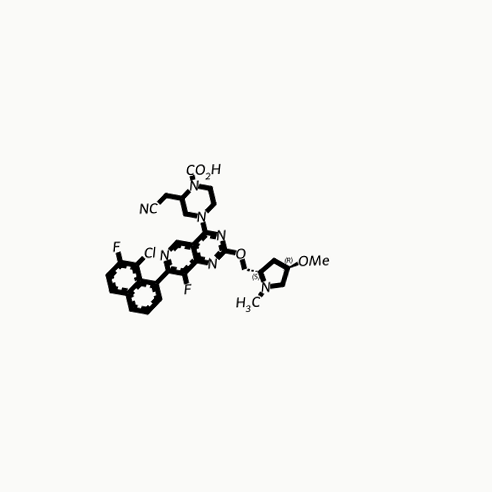 CO[C@@H]1C[C@@H](COc2nc(N3CCN(C(=O)O)C(CC#N)C3)c3cnc(-c4cccc5ccc(F)c(Cl)c45)c(F)c3n2)N(C)C1